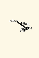 Br.CCCCCCCCCCCCCCCCCCCCCCN1CCNCC1CC(O)O.N